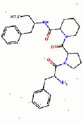 NC(Cc1ccccc1)C(=O)N1CCCC1C(=O)N1CCCCC1C(=O)NC(CC(=O)O)Cc1ccccc1